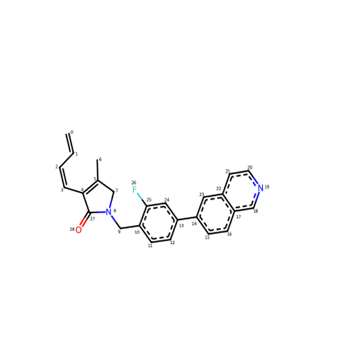 C=C/C=C\C1=C(C)CN(Cc2ccc(-c3ccc4cnccc4c3)cc2F)C1=O